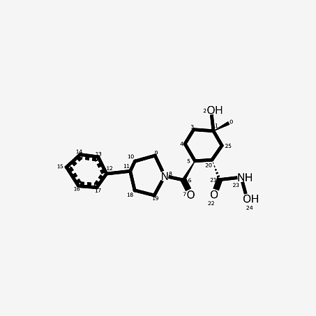 C[C@]1(O)CC[C@H](C(=O)N2CCC(c3ccccc3)CC2)[C@@H](C(=O)NO)C1